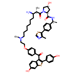 Cc1ncsc1-c1ccc([C@H](C)NC(=O)[C@@H]2C[C@@H](O)CN2C(=O)[C@H](C(N)CCCCCCCN(CCOc2ccc(C(=O)c3c(-c4ccc(O)cc4)sc4cc(O)ccc34)cc2)C(C)(C)C)C(C)(C)C)cc1